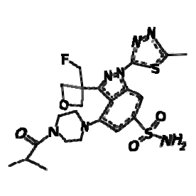 Cc1nnc(-n2nc(C3(CF)COC3)c3c(N4CCN(C(=O)C(C)C)CC4)cc(S(N)(=O)=O)cc32)s1